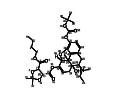 CCCCOC(=O)C1OC(C)(C)O[C@H]1C(=O)OC1=CC[C@@]2(O)[C@H](N(C)CC)Cc3ccc(OC(=O)OC(C)(C)C)c4c3[C@@]2(C)[C@H]1O4